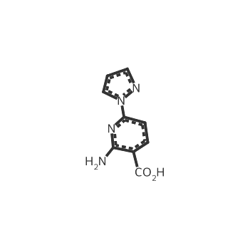 Nc1nc(-n2cccn2)ccc1C(=O)O